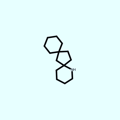 C1CCC2(CC1)CCC1(CCCCN1)C2